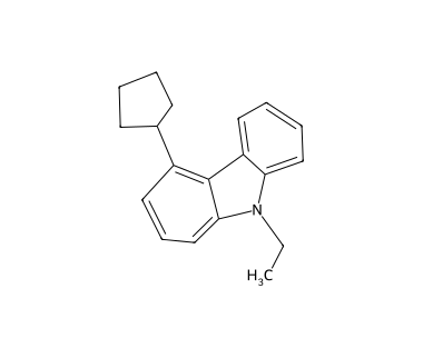 CCn1c2ccccc2c2c(C3CCCC3)cccc21